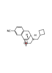 N#Cc1ccc2c(c1)C13CCN(CC4CCC4)[C@H](C2)[C@@H]1CCOCCOC3